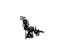 CCCCN1CC(C(=O)NC(Cc2cc(F)cc(F)c2)[C@H](O)[C@H]2CN(S(=O)(=O)c3ccc(Br)cc3)CCN2)CC1=O